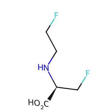 O=C(O)[C@H](CF)NCCF